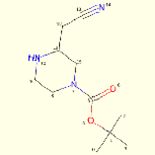 CC(C)(C)OC(=O)N1CCNC(CC#N)C1